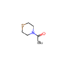 CCC(C)C(=O)N1CCSCC1